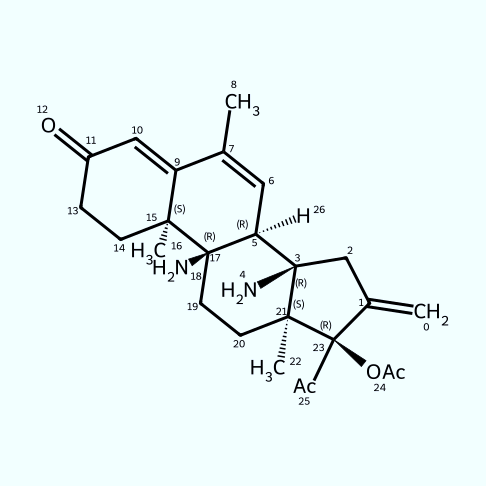 C=C1C[C@@]2(N)[C@@H]3C=C(C)C4=CC(=O)CC[C@]4(C)[C@@]3(N)CC[C@]2(C)[C@@]1(OC(C)=O)C(C)=O